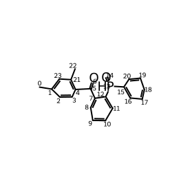 Cc1ccc(C(=O)c2ccccc2[PH](=O)c2ccccc2)c(C)c1